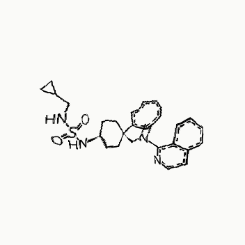 O=S(=O)(NCC1CC1)N[C@H]1CC[C@](CNc2nccc3ccccc23)(c2ccccc2)CC1